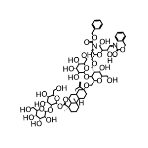 C=C1C[C@@]23CCC4[C@](C)(C(=O)O[C@@H]5OC(CO)[C@@H](O)[C@@H](O)C5O[C@@H]5OC(CO)[C@@H](O)[C@@H](O)C5O)CCC[C@@]4(C)[C@@H]2CC[C@]1(OC[C@@H]1OC(CO)[C@@H](O)[C@@H](COC[C@@H](/C=N/C(=O)OCc2ccccc2)OC(CO)[C@@H](O)/C=N\C(=O)OCc2ccccc2)C1O[C@@H]1OC(CO)[C@@H](O)[C@@H](O)C1O)C3